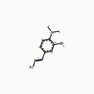 CC(=O)/C=C/c1ccc(N(C)C)c(Br)c1